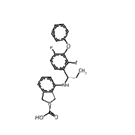 CC[C@H](Nc1cccc2c1CN(C(=O)O)C2)c1ccc(F)c(Oc2ccccc2)c1F